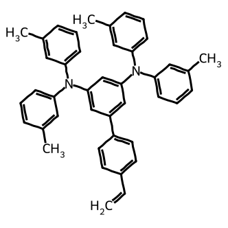 C=Cc1ccc(-c2cc(N(c3cccc(C)c3)c3cccc(C)c3)cc(N(c3cccc(C)c3)c3cccc(C)c3)c2)cc1